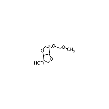 COCO[C@@H]1COC2C1OC[C@H]2O